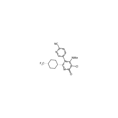 CNc1c(Cl)c(=O)nc([C@H]2CC[C@@H](C(F)(F)F)CC2)n1-c1ccc(C#N)nc1